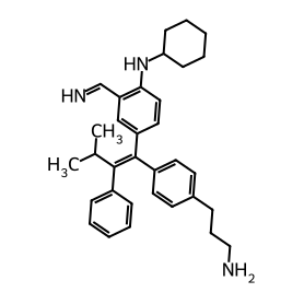 CC(C)/C(=C(/c1ccc(CCCN)cc1)c1ccc(NC2CCCCC2)c(C=N)c1)c1ccccc1